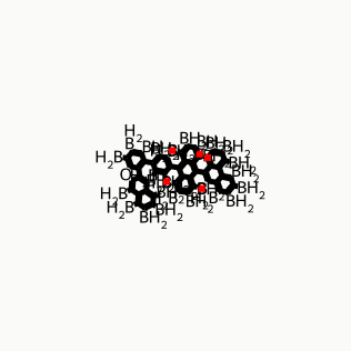 Bc1c(B)c(-c2c(B)c(B)c(B)c3oc4c(B)c5c(B)c(B)c(B)c(B)c5c(B)c4c23)c(B)c(B)c1-c1c2c(B)c(B)c(B)c(B)c2c(-c2c(B)c3c(B)c(B)c(B)c(B)c3c3c(B)c(B)c(B)c(B)c23)c2c(B)c(B)c(B)c(B)c12